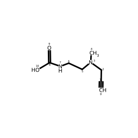 C#CCN(C)CCNC(=O)O